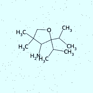 CC(C)C1(C(C)C)OCC(C)(C)C1N